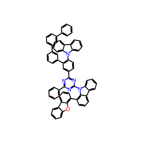 c1ccc(-c2cccc(-c3cccc(-c4cc(-c5nc(-c6ccccc6)nc(-n6c7ccccc7c7cccc(-c8cccc9c8oc8ccccc89)c76)n5)ccc4-n4c5ccccc5c5ccccc54)c3)c2)cc1